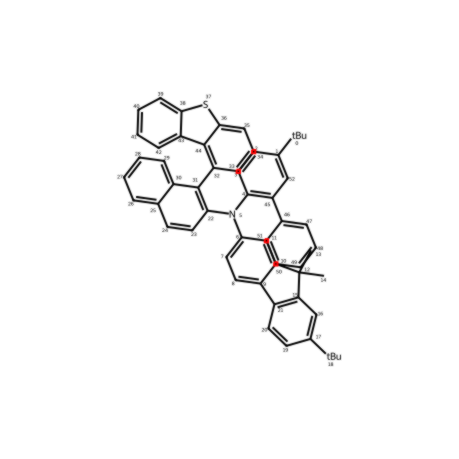 CC(C)(C)c1ccc(N(c2ccc3c(c2)C(C)(C)c2cc(C(C)(C)C)ccc2-3)c2ccc3ccccc3c2-c2cccc3sc4ccccc4c23)c(-c2ccccc2)c1